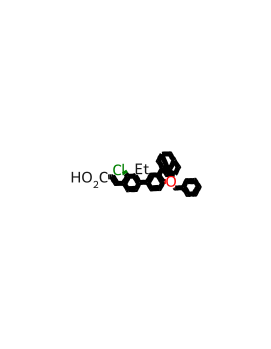 CCc1c(-c2ccc(OCc3ccccc3)c(C34CC5CC(CC(C5)C3)C4)c2)ccc(C=CC(=O)O)c1Cl